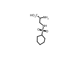 N[C@@H](CNS(=O)(=O)C1CCCCC1)C(=O)O